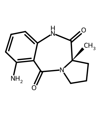 C[C@@]12CCCN1C(=O)c1c(N)cccc1NC2=O